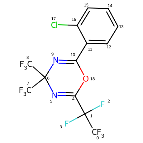 FC(F)(F)C(F)(F)C1=NC(C(F)(F)F)(C(F)(F)F)N=C(c2ccccc2Cl)O1